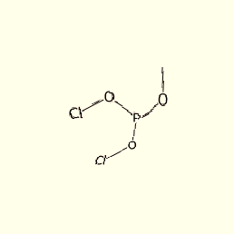 COP(OCl)OCl